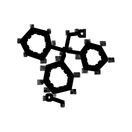 C[O-].ClC[P+](c1ccccc1)(c1ccccc1)c1ccccc1